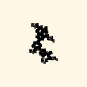 COc1cc(-c2cnc(N)c(-n3cc(C(=O)N(C)C)cn3)n2)cc2c1C1(CC1)CN(C)C2